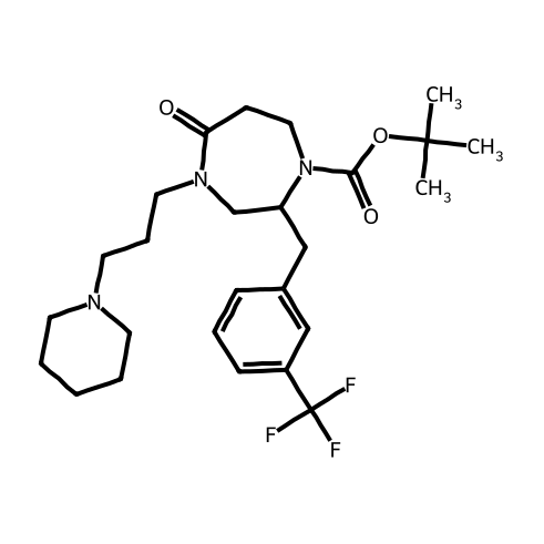 CC(C)(C)OC(=O)N1CCC(=O)N(CCCN2CCCCC2)CC1Cc1cccc(C(F)(F)F)c1